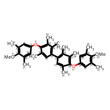 COc1c(C)cc(Oc2c(C)cc(-c3cc(C)c(Oc4cc(C)c(OC)c(C)c4)c(C)c3C)c(C)c2C)cc1C